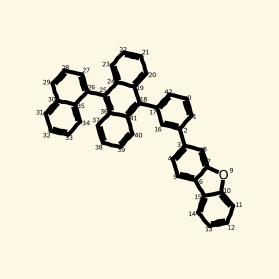 c1cc(-c2ccc3c(c2)oc2ccccc23)cc(-c2c3ccccc3c(-c3cccc4ccccc34)c3ccccc23)c1